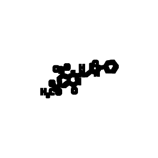 CS(=O)(=O)c1cc([N+](=O)[O-])c2sc(NCc3coc(-c4ccccc4)n3)nc(=O)c2c1